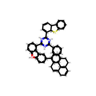 C1=CC2c3ccccc3SC2C(c2nc(-c3ccccc3)nc(-c3cccc4oc5ccc(-c6ccc7c8c6CC=C6CC=CC(=C68)CC7)cc5c34)n2)=C1